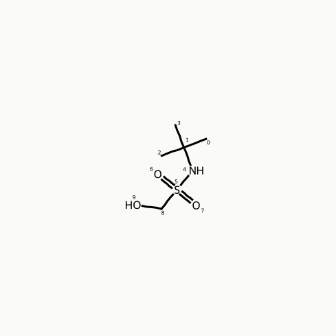 CC(C)(C)NS(=O)(=O)CO